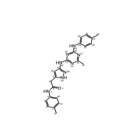 Cc1ccc(NC(=O)Cc2cc(Nc3nc(C)nc(Nc4ccc(C)cc4)n3)n[nH]2)cc1